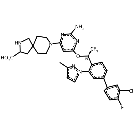 Cc1ccn(-c2cc(-c3ccc(F)c(Cl)c3)ccc2[C@@H](Oc2cc(N3CCC4(CC3)CNC(C(=O)O)C4)nc(N)n2)C(F)(F)F)n1